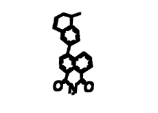 CC1CC=Cc2cc(-c3ccc4c5c(cccc35)C(=O)N(C)C4=O)ccc21